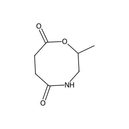 CC1CNC(=O)CCC(=O)O1